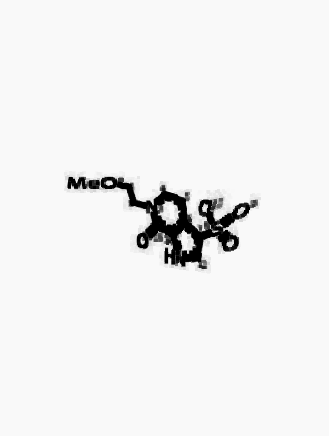 COCCn1ccc2c(S(=O)(=O)Cl)c[nH]c2c1=O